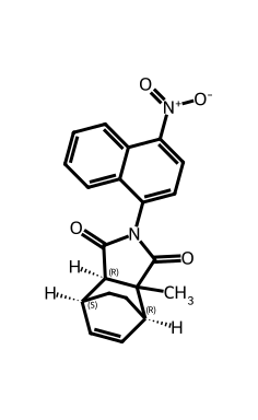 CC12C(=O)N(c3ccc([N+](=O)[O-])c4ccccc34)C(=O)[C@@H]1[C@@H]1C=C[C@H]2CC1